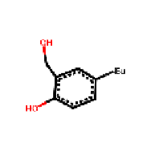 CCC(C)c1ccc(O)c(CO)c1